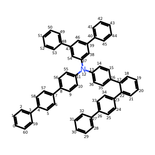 c1ccc(-c2ccc(-c3ccc(N(c4ccc(-c5ccccc5-c5ccc(-c6ccccc6)cc5)cc4)c4cc(-c5ccccc5)cc(-c5ccccc5)c4)cc3)cc2)cc1